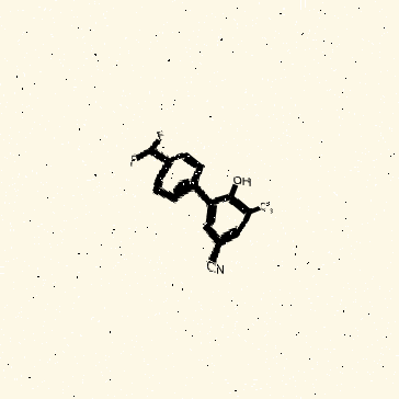 N#Cc1cc(-c2ccc(C(F)F)cc2)c(O)c(C(F)(F)F)c1